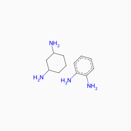 NC1CCCC(N)C1.Nc1ccccc1N